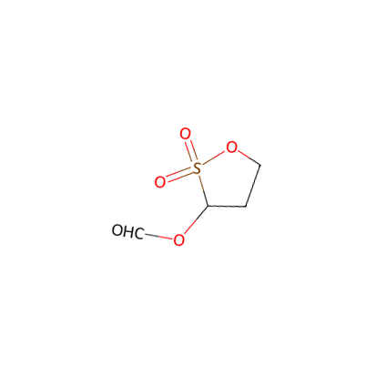 O=COC1CCOS1(=O)=O